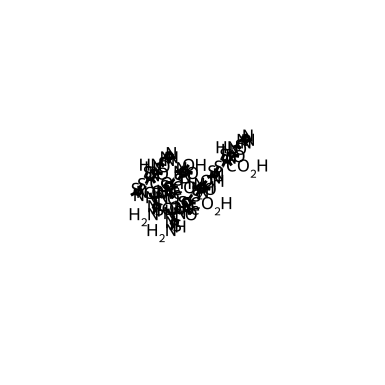 CO/N=C(\C(=O)N[C@@H]1C(=O)N2C(C(=O)O)=C(CSc3nc(=O)c(O)nn3C)CS[C@H]12)c1csc(N)n1.CO/N=C(\C(=O)N[C@@H]1C(=O)N2C(C(=O)O)=C(CSc3nc(=O)c(O)nn3C)CS[C@H]12)c1csc(N)n1.Cc1nnc(SCC2=C(C(=O)O)N3C(=O)[C@@H](NC(=O)Cn4cnnn4)[C@H]3SC2)s1.Cc1nnc(SCC2=C(C(=O)O)N3C(=O)[C@@H](NC(=O)Cn4cnnn4)[C@H]3SC2)s1